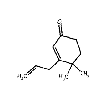 C=CCC1=CC(=O)CCC1(C)C